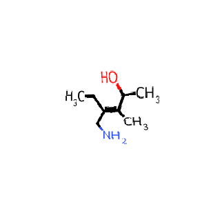 CCC(CN)=C(C)[C@H](C)O